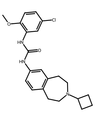 COc1ccc(Cl)cc1NC(=O)Nc1ccc2c(c1)CCN(C1CCC1)CC2